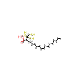 CCCCCCCC/C=C\CCCCCCC(C(=O)O)C(S)(S)CS